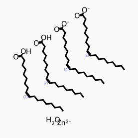 CCCCCCCC/C=C\CCCCCCCC(=O)O.CCCCCCCC/C=C\CCCCCCCC(=O)O.CCCCCCCC/C=C\CCCCCCCC(=O)[O-].CCCCCCCC/C=C\CCCCCCCC(=O)[O-].O.[Zn+2]